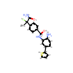 CC(C)C(F)(C(N)=O)c1ccc(C(=O)Nc2cc(-c3cccs3)ccc2N)cc1